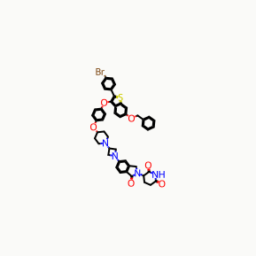 O=C1CCC(N2Cc3cc(N4CC(N5CCC(Oc6ccc(Oc7c(-c8ccc(Br)cc8)sc8cc(OCc9ccccc9)ccc78)cc6)CC5)C4)ccc3C2=O)C(=O)N1